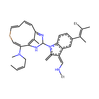 C=c1/c(=C\NCC)c2cc(/C(C)=C(/C)CC)ccc2n1C1N=C2/C=C\C=C\S/C=C(/N(C)C/C=C\C)C(=C2C)N1